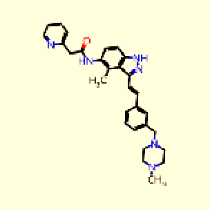 Cc1c(NC(=O)Cc2ccccn2)ccc2[nH]nc(/C=C/c3cccc(CN4CCN(C)CC4)c3)c12